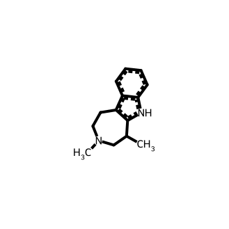 CC1CN(C)CCc2c1[nH]c1ccccc21